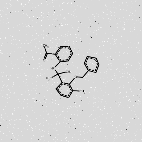 CC(=O)c1ccccc1PC(C)(C)c1cccc(C)c1OCc1ccccc1